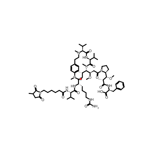 CC[C@H](C)[C@@H]([C@@H](CC(=O)N1CCC[C@H]1[C@H](OC)[C@@H](C)C(=O)N[C@@H](Cc1ccccc1)C(=O)O)OC)N(C)C(=O)[C@@H](NC(=O)[C@H](C(C)C)N(C)CCc1ccc(N(C)C(=O)[C@H](CCCCNC(N)=O)NC(=O)[C@@H](NC(=O)CCCCCN2C(=O)CC(C)C2=O)C(C)C)cc1)C(C)C